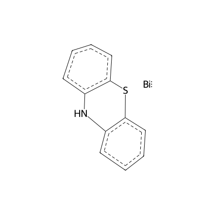 [Bi].c1ccc2c(c1)Nc1ccccc1S2